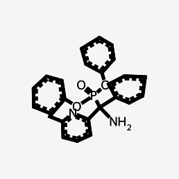 Cc1cccc(C(N)(c2ccccc2)P(=O)(Oc2ccccc2)Oc2ccccc2)n1